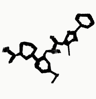 COc1ccc(-c2cccc(C(=O)O)c2)c(CNC(=O)c2nc(-c3ccccc3)sc2C)c1